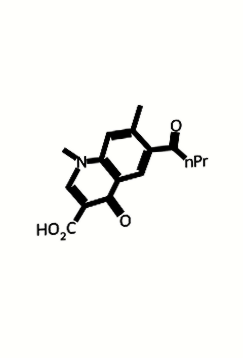 CCCC(=O)c1cc2c(=O)c(C(=O)O)cn(C)c2cc1C